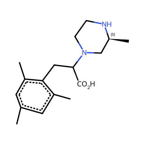 Cc1cc(C)c(CC(C(=O)O)N2CCN[C@@H](C)C2)c(C)c1